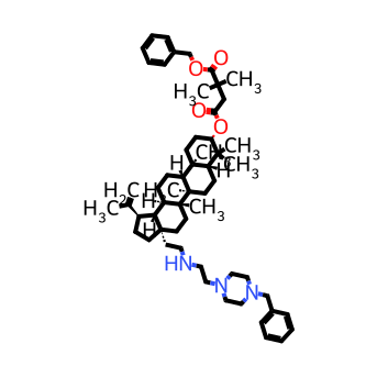 C=C(C)[C@@H]1CC[C@]2(CCNCCN3CCN(Cc4ccccc4)CC3)CC[C@]3(C)[C@H](CC[C@@H]4[C@@]5(C)CC[C@H](OC(=O)CC(C)(C)C(=O)OCc6ccccc6)C(C)(C)[C@@H]5CC[C@]43C)[C@@H]12